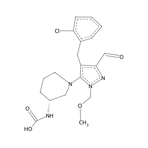 COCn1nc(C=O)c(Cc2ccccc2Cl)c1N1CCC[C@@H](NC(=O)O)C1